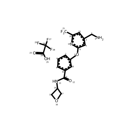 NCc1cc(Oc2cccc(C(=O)NC3COC3)c2)nc(C(F)(F)F)c1.O=C(O)C(F)(F)F